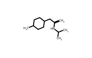 C=C(CC1CCC(C)CC1)NC(C)C